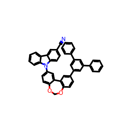 N#Cc1ccc2c(c1)c1ccccc1n2-c1ccc2c(c1)-c1cc(-c3cc(-c4ccccc4)cc(-c4ccccc4)c3)ccc1OCO2